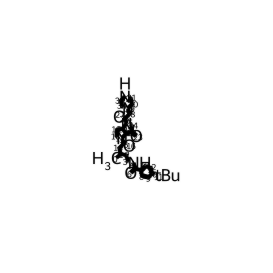 CC(CCNC(=O)c1ccc(C(C)(C)C)cc1)CC(=O)N1CCC2C1C(=O)CN2C(=O)CN1CCNCC1